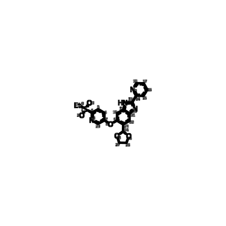 CCS(=O)(=O)c1ccc(Oc2cc3[nH]c(-c4ccccn4)nc3cc2C2OCCO2)cn1